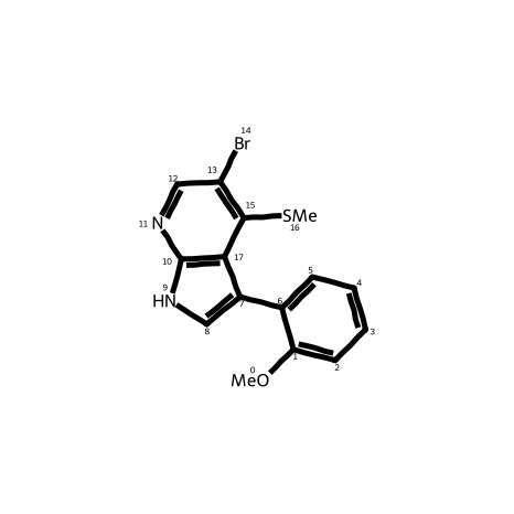 COc1ccccc1-c1c[nH]c2ncc(Br)c(SC)c12